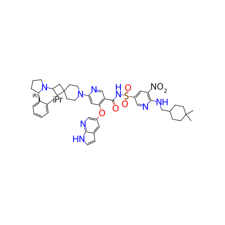 CC(C)c1ccccc1[C@H]1CCCN1C1CC2(CCN(c3cc(Oc4cnc5[nH]ccc5c4)c(C(=O)NS(=O)(=O)c4cnc(NCC5CCC(C)(C)CC5)c([N+](=O)[O-])c4)cn3)CC2)C1